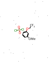 COc1cccc(OCC(F)(F)F)c1.O=S(=O)(Cl)Cl